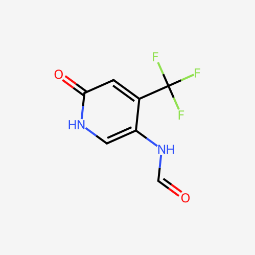 O=CNc1c[nH]c(=O)cc1C(F)(F)F